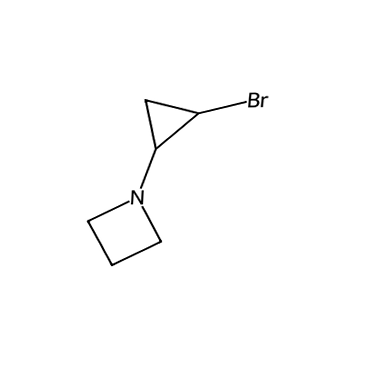 BrC1CC1N1CCC1